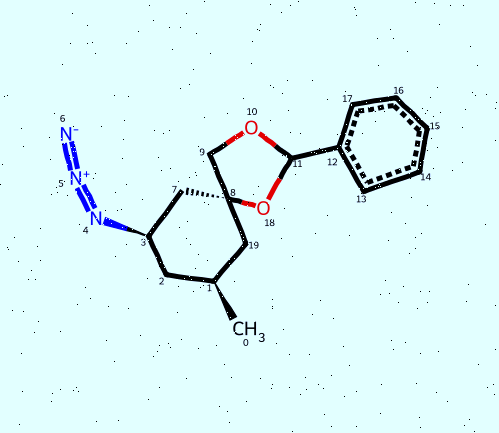 C[C@H]1C[C@@H](N=[N+]=[N-])C[C@@]2(COC(c3ccccc3)O2)C1